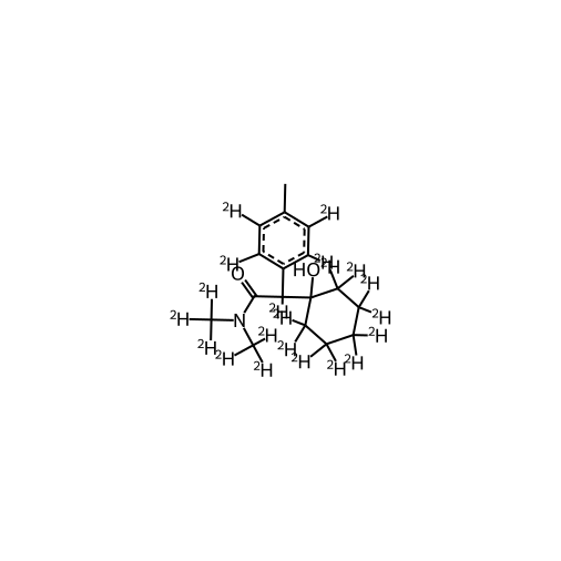 [2H]c1c([2H])c(C([2H])(C(=O)N(C([2H])([2H])[2H])C([2H])([2H])[2H])C2(O)C([2H])([2H])C([2H])([2H])C([2H])([2H])C([2H])([2H])C2([2H])[2H])c([2H])c([2H])c1C